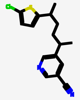 CC(CCC(C)c1ccc(Cl)s1)c1cncc(C#N)c1